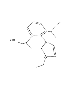 Br.CCN1C=CN(c2c(C(C)C)cccc2C(C)C)C1